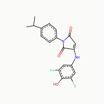 CC(C)c1ccc(N2C(=O)C=C(Nc3cc(F)c(O)c(F)c3)C2=O)cc1